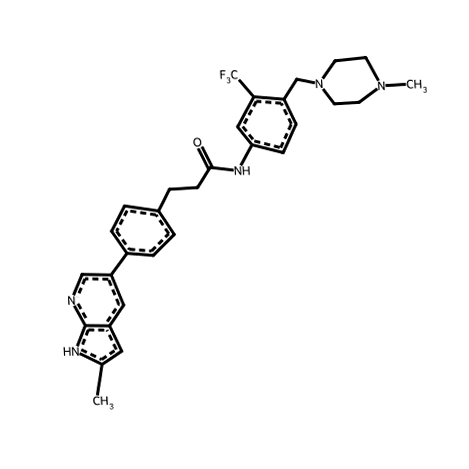 Cc1cc2cc(-c3ccc(CCC(=O)Nc4ccc(CN5CCN(C)CC5)c(C(F)(F)F)c4)cc3)cnc2[nH]1